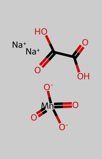 O=C(O)C(=O)O.[Na+].[Na+].[O]=[Mn](=[O])([O-])[O-]